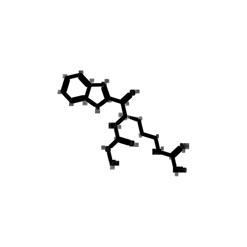 CNC(=N)NCCC[C@H](NC(=O)OC(C)(C)C)C(=O)c1nc2ccccc2s1